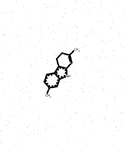 CC1=Cc2[nH]c3cc(C)ccc3c2CC1